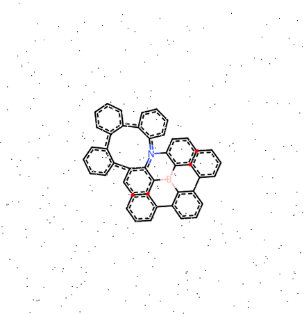 c1ccc(-c2cccc(-c3ccccc3)c2B2c3ccccc3-n3c4ccccc4c4ccccc4c4ccccc4c4cccc2c43)cc1